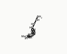 COC(=O)[C@@H](NC(=O)CC[C@@H](C)[C@H]1CC[C@H]2[C@@H]3CC[C@@H]4C[C@@H](NCCCNCCCCNCCCN)CC[C@]4(C)[C@H]3C[C@H](O)[C@]12C)C(C)C